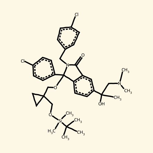 CN(C)CC(C)(O)c1ccc2c(c1)C(=O)N(Cc1ccc(Cl)cc1)C2(OCC1(CO[Si](C)(C)C(C)(C)C)CC1)c1ccc(Cl)cc1